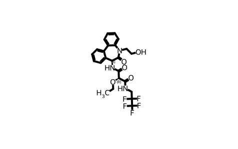 CCO[C@H](C(=O)NCC(F)(F)C(F)(F)F)C(=O)N[C@@H]1C(=O)N(CCO)c2ccccc2-c2ccccc21